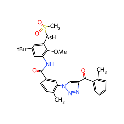 COc1c(NC(=O)c2ccc(C)c(-n3cc(C(=O)c4ccccc4C)nn3)c2)cc(C(C)(C)C)cc1[AsH]S(C)(=O)=O